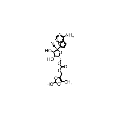 CC1=C(COC(=O)OC[C@H]2O[C@@](C#N)(c3ccc4c(N)ncnn34)[C@H](O)[C@@H]2O)OC(O)O1